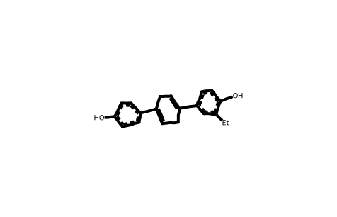 CCc1cc(C2=CCC(c3ccc(O)cc3)=CC2)ccc1O